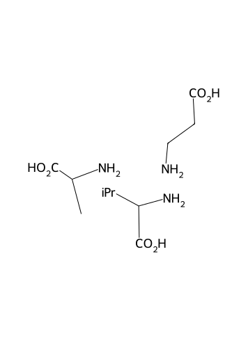 CC(C)C(N)C(=O)O.CC(N)C(=O)O.NCCC(=O)O